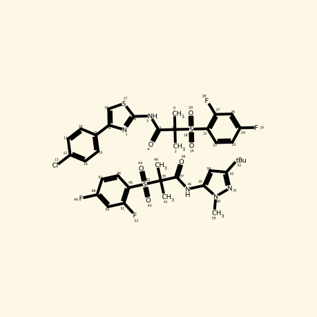 CC(C)(C(=O)Nc1nc(-c2ccc(Cl)cc2)cs1)S(=O)(=O)c1ccc(F)cc1F.Cn1nc(C(C)(C)C)cc1NC(=O)C(C)(C)S(=O)(=O)c1ccc(F)cc1F